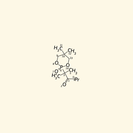 CC(C)C(=O)C(C)(C)P1(=O)OCC(C)(C)CO1